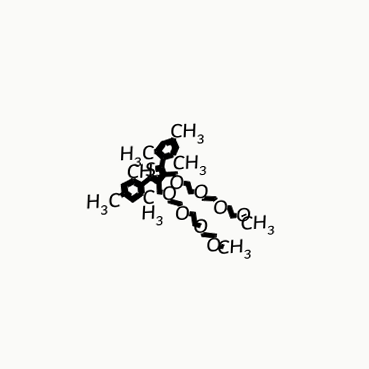 COCCOCCOCCOCc1c(-c2c(C)cc(C)cc2C)sc(-c2c(C)cc(C)cc2C)c1COCCOCCOCCOC